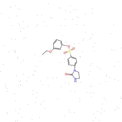 CCOc1cccc(OS(=O)(=O)c2ccc(N3CCNC3=O)cc2)c1